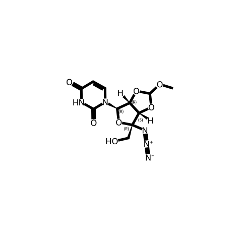 COC1O[C@H]2[C@H](n3ccc(=O)[nH]c3=O)O[C@@](CO)(N=[N+]=[N-])[C@H]2O1